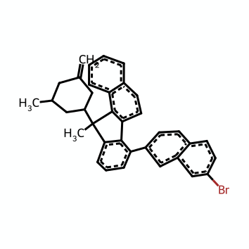 C=C1CC(C)CC(C2(C)c3cccc(-c4ccc5ccc(Br)cc5c4)c3-c3ccc4ccccc4c32)C1